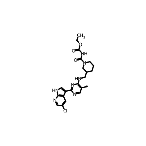 CCOC(=O)NC(=O)N1CCCC(CNc2nc(-c3c[nH]c4ncc(Cl)cc34)ncc2F)C1